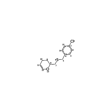 Clc1ccc(CSCC2CCC=CO2)cc1